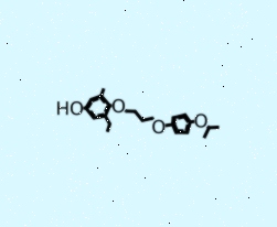 CCc1cc(O)cc(C)c1OCCCCOc1ccc(OC(C)C)cc1